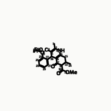 CCOC(=O)C1=C(C)NC2=C(C(=O)C(C(=O)OC)C(C)C2)C1c1ccccc1OC(C)C